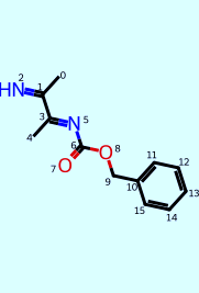 CC(=N)/C(C)=N/C(=O)OCc1ccccc1